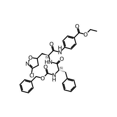 CCOC(=O)c1ccc(NC(=O)[C@H](CC2CC(Cl)=NO2)NC(=O)[C@H](Cc2ccccc2)NC(=O)OCc2ccccc2)cc1